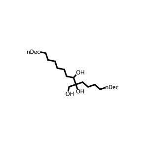 CCCCCCCCCCCCCCCCC(O)C(O)(CO)CCCCCCCCCCCCCC